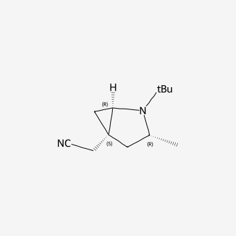 C[C@@H]1C[C@@]2(CC#N)C[C@H]2N1C(C)(C)C